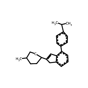 CC1CCC(C2=Cc3c(cccc3-c3ccc(C(C)C)cc3)[CH]2)CC1